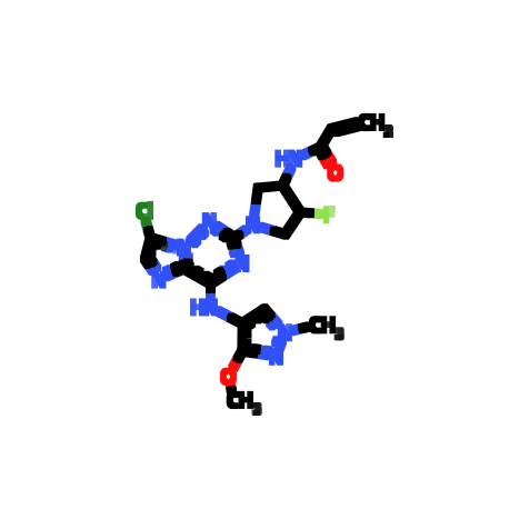 C=CC(=O)NC1CN(c2nc(Nc3cn(C)nc3OC)c3ncc(Cl)n3n2)CC1F